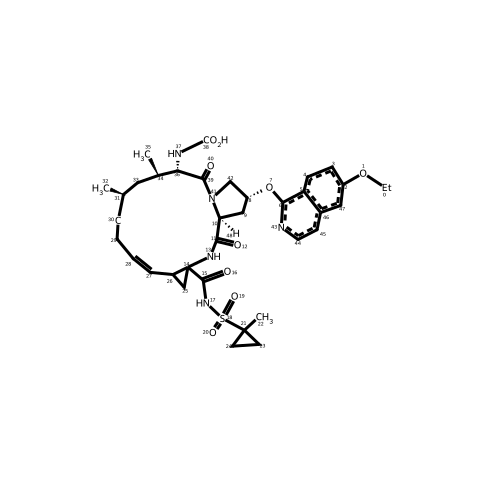 CCOc1ccc2c(O[C@@H]3C[C@H]4C(=O)NC5(C(=O)NS(=O)(=O)C6(C)CC6)CC5/C=C\CC[C@@H](C)C[C@@H](C)[C@H](NC(=O)O)C(=O)N4C3)nccc2c1